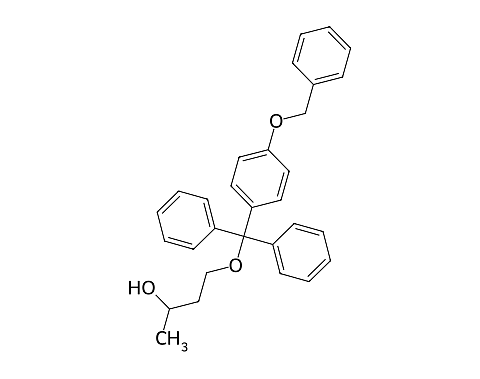 CC(O)CCOC(c1ccccc1)(c1ccccc1)c1ccc(OCc2ccccc2)cc1